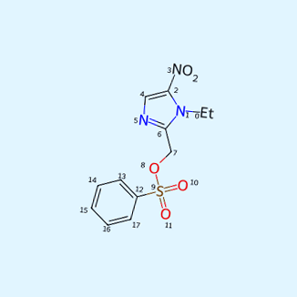 CCn1c([N+](=O)[O-])cnc1COS(=O)(=O)c1ccccc1